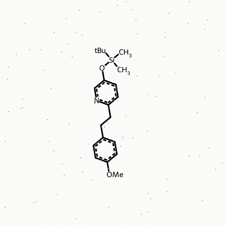 COc1ccc(CCc2ccc(O[Si](C)(C)C(C)(C)C)cn2)cc1